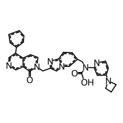 O=C(O)N(Cc1ccc2nc(Cn3ccc4c(-c5ccccc5)cncc4c3=O)cn2c1)c1cc(N2CCC2)ccn1